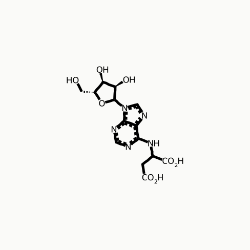 O=C(O)CC(Nc1ncnc2c1ncn2C1O[C@H](CO)[C@@H](O)[C@H]1O)C(=O)O